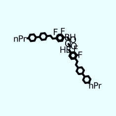 CCCC1CCC(C2CCC(CCc3ccc(BC(=O)OC(=O)Bc4ccc(CCC5CCC(C6CCC(CCC)CC6)CC5)c(F)c4F)c(F)c3F)CC2)CC1